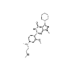 CNCCN(C)c1ccc(-c2nc3c(c(C4CCCCC4)nn3C)c(=O)[nH]2)c(OC)c1